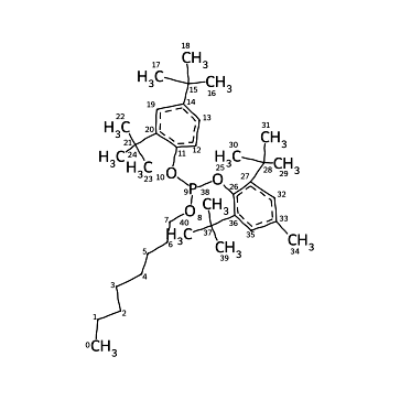 CCCCCCCCOP(Oc1ccc(C(C)(C)C)cc1C(C)(C)C)Oc1c(C(C)(C)C)cc(C)cc1C(C)(C)C